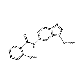 CCCSc1nnc2ccc(NC(=O)c3ccccc3OC)cn12